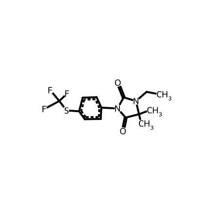 CCN1C(=O)N(c2ccc(SC(F)(F)F)cc2)C(=O)C1(C)C